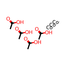 CC(=O)O.CC(=O)O.CC(=O)O.CC(=O)O.[Co].[Co].[Co]